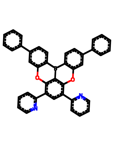 c1ccc(-c2ccc3c(c2)Oc2c(-c4ccccn4)cc(-c4ccccn4)c4c2B3c2ccc(-c3ccccc3)cc2O4)cc1